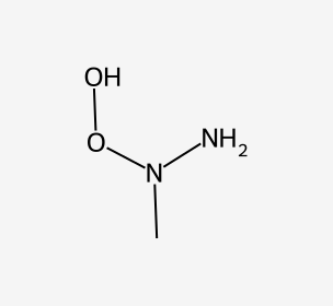 CN(N)OO